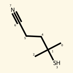 CC(C)(S)CCC#N